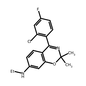 CCNc1ccc2c(c1)OC(C)(C)N=C2c1ccc(F)cc1Cl